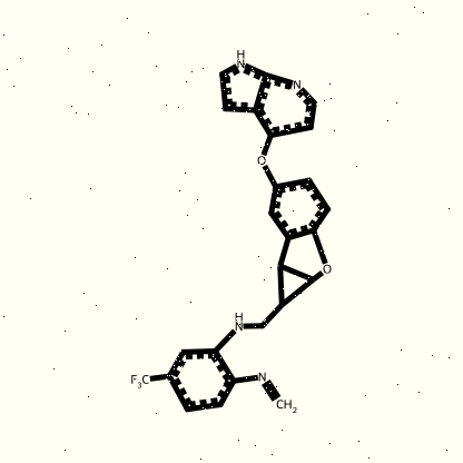 C=Nc1ccc(C(F)(F)F)cc1NCC1C2Oc3ccc(Oc4ccnc5[nH]ccc45)cc3C12